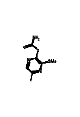 COc1nc(C)cnc1OC(N)=O